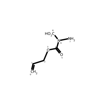 C=CCOC(=O)N(N)C(=O)O